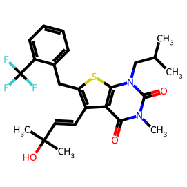 CC(C)Cn1c(=O)n(C)c(=O)c2c(/C=C/C(C)(C)O)c(Cc3ccccc3C(F)(F)F)sc21